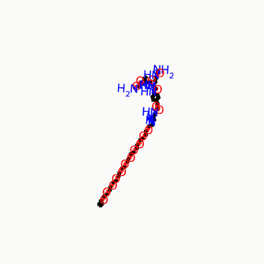 CC(C)[C@H](NC(=O)CON)C(=O)N[C@@H](CCCNC(N)=O)C(=O)Nc1ccc(COC(=O)NCc2cn(CCOCCOCCOCCOCCOCCOCCOCCOCCOCCOCCOCC(C)(C)C)nn2)cc1